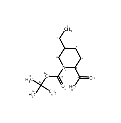 CCC1CCC(C(=O)O)N(C(=O)OC(C)(C)C)C1